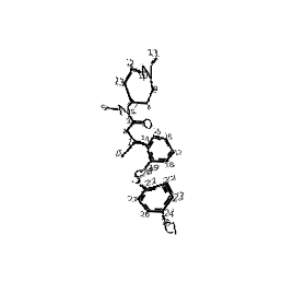 CC(CC(=O)N(C)C1CCN(C)CC1)c1ccccc1Sc1ccc(Cl)cc1